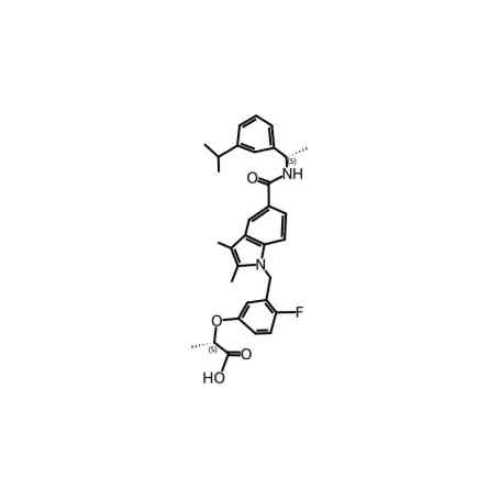 Cc1c(C)n(Cc2cc(O[C@@H](C)C(=O)O)ccc2F)c2ccc(C(=O)N[C@@H](C)c3cccc(C(C)C)c3)cc12